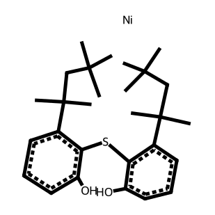 CC(C)(C)CC(C)(C)c1cccc(O)c1Sc1c(O)cccc1C(C)(C)CC(C)(C)C.[Ni]